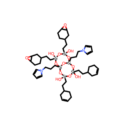 O[Si]1(CCC2CC=CCC2)O[Si](O)(CCC2CC=CCC2)O[Si]2(CCCn3cccc3)O[Si](O)(CCC3CCC4OC4C3)O[Si](O)(CCC3CCC4OC4C3)O[Si](CCCn3cccc3)(O1)O2